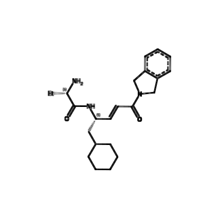 CC[C@H](N)C(=O)N[C@H](C=CC(=O)N1Cc2ccccc2C1)CC1CCCCC1